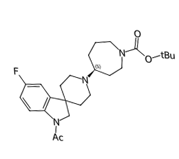 CC(=O)N1CC2(CCN([C@H]3CCCN(C(=O)OC(C)(C)C)CC3)CC2)c2cc(F)ccc21